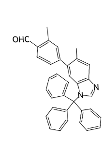 Cc1cc(-c2cc3c(cc2C)ncn3C(c2ccccc2)(c2ccccc2)c2ccccc2)ccc1C=O